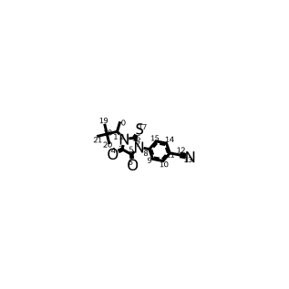 CC(N1C(=O)C(=O)N(c2ccc(C#N)cc2)C1=S)C(C)(C)C